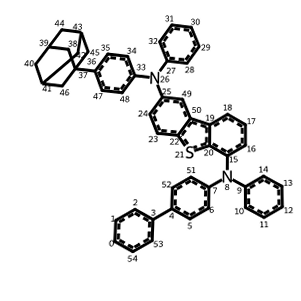 c1ccc(-c2ccc(N(c3ccccc3)c3cccc4c3sc3ccc(N(c5ccccc5)c5ccc(C67CC8CC(CC(C8)C6)C7)cc5)cc34)cc2)cc1